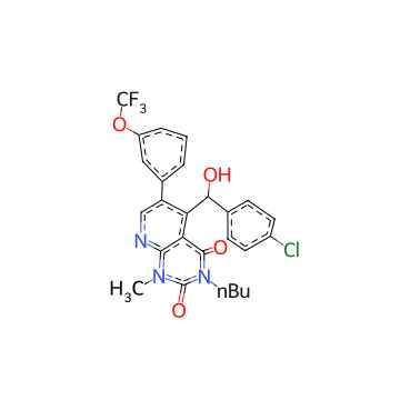 CCCCn1c(=O)c2c(C(O)c3ccc(Cl)cc3)c(-c3cccc(OC(F)(F)F)c3)cnc2n(C)c1=O